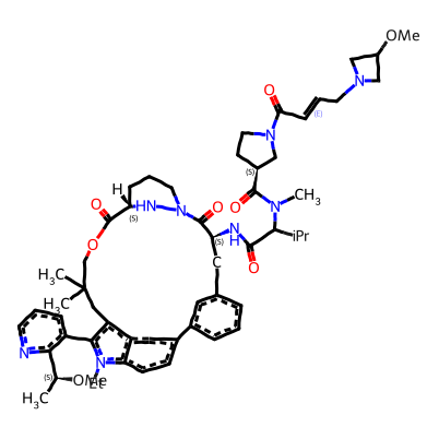 CCn1c(-c2cccnc2[C@H](C)OC)c2c3cc(ccc31)-c1cccc(c1)C[C@H](NC(=O)C(C(C)C)N(C)C(=O)[C@H]1CCN(C(=O)/C=C/CN3CC(OC)C3)C1)C(=O)N1CCC[C@H](N1)C(=O)OCC(C)(C)C2